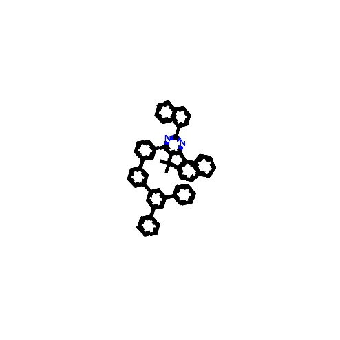 CC1(C)c2ccc3ccccc3c2-c2nc(-c3cccc4ccccc34)nc(-c3cccc(-c4cccc(-c5cc(-c6ccccc6)cc(-c6ccccc6)c5)c4)c3)c21